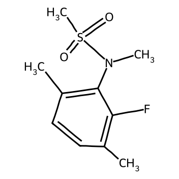 Cc1ccc(C)c(N(C)S(C)(=O)=O)c1F